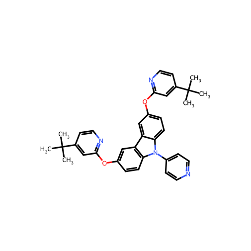 CC(C)(C)c1ccnc(Oc2ccc3c(c2)c2cc(Oc4cc(C(C)(C)C)ccn4)ccc2n3-c2ccncc2)c1